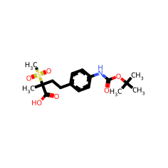 CC(C)(C)OC(=O)Nc1ccc(CCC(C)(C(=O)O)S(C)(=O)=O)cc1